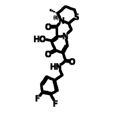 C[C@@H]1CCSC2Cn3cc(C(=O)NCc4ccc(F)c(F)c4)c(=O)c(O)c3C(=O)N21